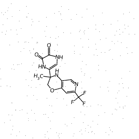 CC1(c2c[nH]c(=O)c(=O)[nH]2)COc2cc(C(F)(F)F)ncc2N1